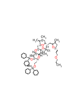 C=CCOCC=C[C@H]1CC(=C)[C@H](CC[C@H]2C[C@@H](C)C(=C)[C@@H](C[C@@H]3O[C@H]4C[C@@H](O[Si](c5ccccc5)(c5ccccc5)C(C)(C)C)[C@@H](CCO[Si](c5ccccc5)(c5ccccc5)C(C)(C)C)O[C@H]4[C@H](C)[C@H]3O[Si](CC)(CC)CC)O2)O1